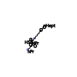 CCC/C=C\CCCC1(c2ccccc2)OC(S)N(C(=O)C/C=C/CCCCCCOCCOCCCCCCC)[C@H]1C(C)C